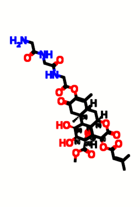 COC(=O)[C@@]12OC[C@]34C([C@@H](O)[C@@H]1O)[C@@]1(C)CC(=O)C(OC(=O)CNC(=O)CNC(=O)CN)=C(C)[C@@H]1C[C@H]3OC(=O)[C@H](OC(=O)C=C(C)C)[C@@H]24